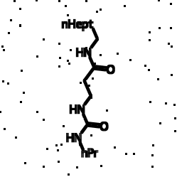 CCCCCCCCNC(=O)CCNC(=O)NCCC